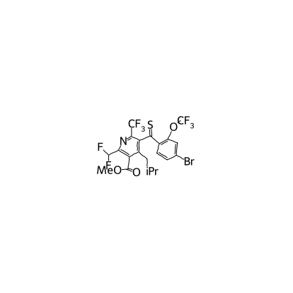 COC(=O)c1c(C(F)F)nc(C(F)(F)F)c(C(=S)c2ccc(Br)cc2OC(F)(F)F)c1CC(C)C